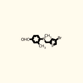 Cc1cc(C=O)ccc1N(C)Cc1cc(Br)cs1